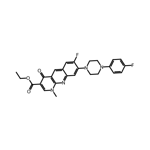 CCOC(=O)c1cn(C)c2nc3cc(N4CCN(c5ccc(F)cc5)CC4)c(F)cc3cc2c1=O